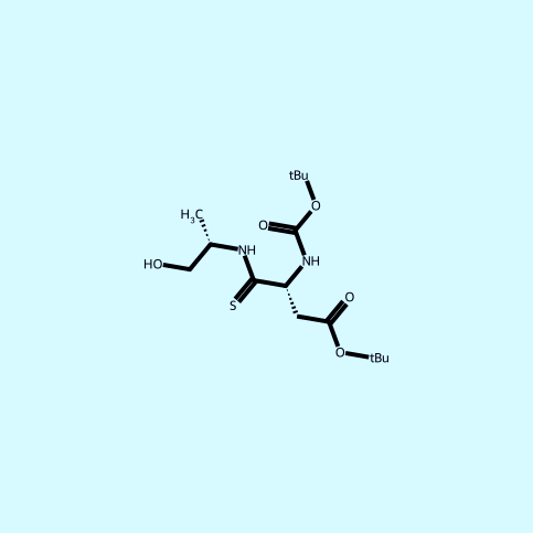 C[C@@H](CO)NC(=S)[C@@H](CC(=O)OC(C)(C)C)NC(=O)OC(C)(C)C